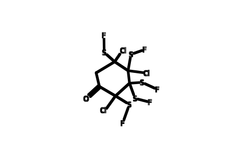 O=C1CC(Cl)(SF)C(Cl)(SF)C(SF)(SF)C1(Cl)SF